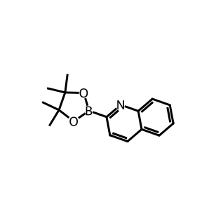 CC1(C)OB(c2ccc3ccccc3n2)OC1(C)C